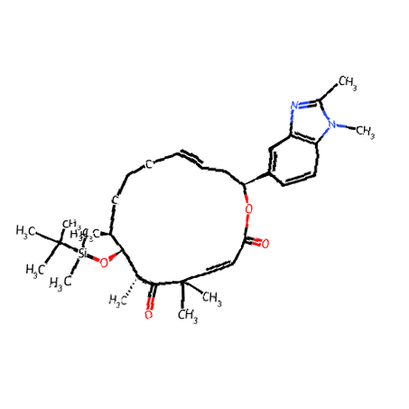 Cc1nc2cc([C@@H]3C/C=C/CCC[C@H](C)[C@H](O[Si](C)(C)C(C)(C)C)[C@@H](C)C(=O)C(C)(C)/C=C/C(=O)O3)ccc2n1C